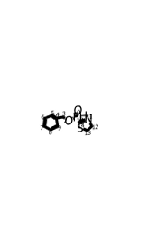 O=[PH](OCc1ccccc1)C1=NCCS1